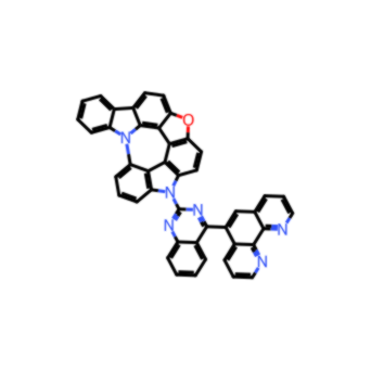 c1cnc2c(c1)cc(-c1nc(-n3c4ccc5oc6ccc7c8ccccc8n8c9cccc3c9c4c5c6c78)nc3ccccc13)c1cccnc12